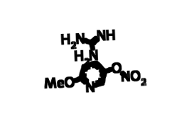 COc1ccc(O[N+](=O)[O-])cn1.N=C(N)N